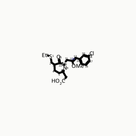 CCSCC1CCC(CC(=O)O)=NN(C/C(=C/c2cccc(Cl)c2)OC)C1=O